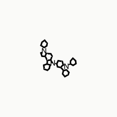 c1ccc(-n2ccc3c4c5ccccc5n(-c5ccc6c(c5)c5ccccc5n6-c5ccccc5)c4ccc32)cc1